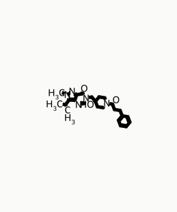 CC(C)c1c2ncn(CC3(O)CCN(C(=O)CCc4ccccc4)CC3)c(=O)c2nn1C